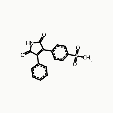 CS(=O)(=O)c1ccc(C2=C(c3ccccc3)C(=O)NC2=O)cc1